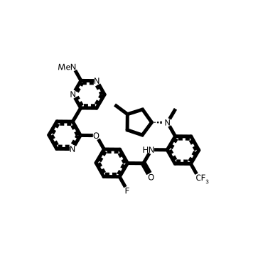 CNc1nccc(-c2cccnc2Oc2ccc(F)c(C(=O)Nc3cc(C(F)(F)F)ccc3N(C)[C@@H]3CCC(C)C3)c2)n1